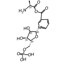 C[C@H](N)C(=O)OC(=O)c1ccc[n+]([C@@H]2O[C@H](COP(=O)(O)O)[C@@H](O)[C@H]2O)c1